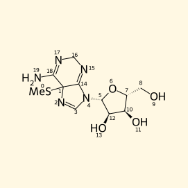 CSC12N=CN([C@@H]3O[C@H](CO)[C@@H](O)[C@H]3O)C1=NCN=C2N